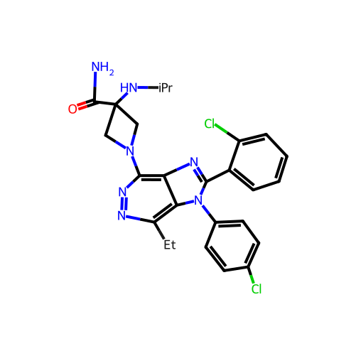 CCc1nnc(N2CC(NC(C)C)(C(N)=O)C2)c2nc(-c3ccccc3Cl)n(-c3ccc(Cl)cc3)c12